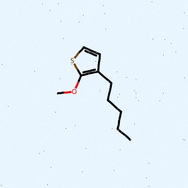 CCCCCc1ccsc1OC